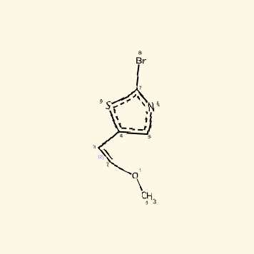 CO/C=C\c1cnc(Br)s1